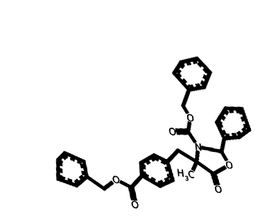 CC1(Cc2ccc(C(=O)OCc3ccccc3)cc2)C(=O)OC(c2ccccc2)N1C(=O)OCc1ccccc1